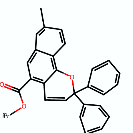 Cc1ccc2c3c(c(C(=O)OC(C)C)cc2c1)C=CC(c1ccccc1)(c1ccccc1)O3